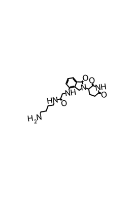 NCCCCNC(=O)CNc1cccc2c1CN(C1CCC(=O)NC1=O)C2=O